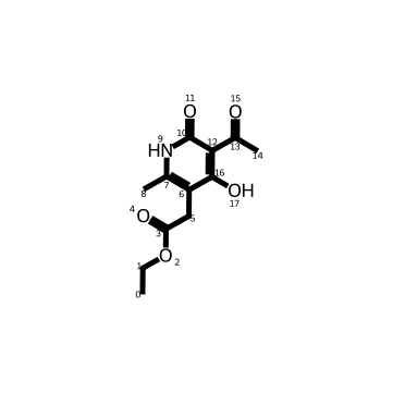 CCOC(=O)Cc1c(C)[nH]c(=O)c(C(C)=O)c1O